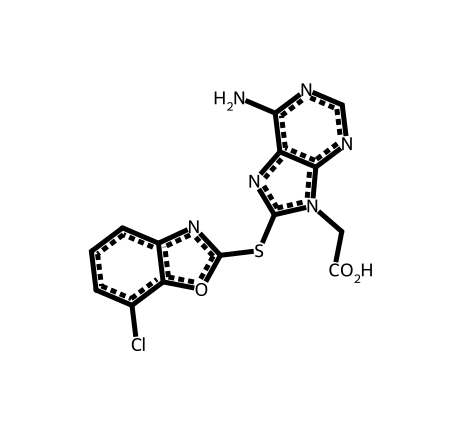 Nc1ncnc2c1nc(Sc1nc3cccc(Cl)c3o1)n2CC(=O)O